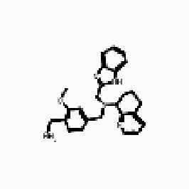 COc1cc(CN(Cc2nc3ccccc3[nH]2)C2CCCc3cccnc32)ccc1CN